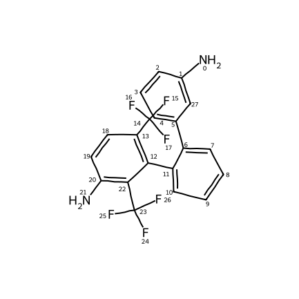 Nc1cccc(-c2ccccc2-c2c(C(F)(F)F)ccc(N)c2C(F)(F)F)c1